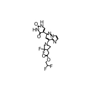 O=C(CC1CN(c2cc(-c3c[nH]c(=O)[nH]c3=O)nn3ccnc23)CC1(F)F)OCC(F)F